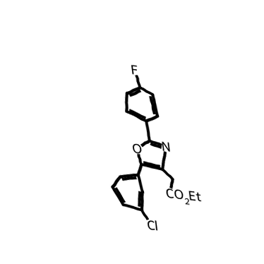 CCOC(=O)Cc1nc(-c2ccc(F)cc2)oc1-c1cccc(Cl)c1